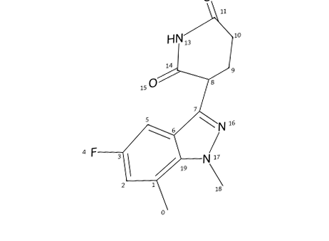 Cc1cc(F)cc2c(C3CCC(=O)NC3=O)nn(C)c12